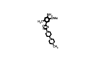 COc1cc(-c2nc(N3CCC(N4CCN(C)CC4)CC3)no2)c(C)cc1N